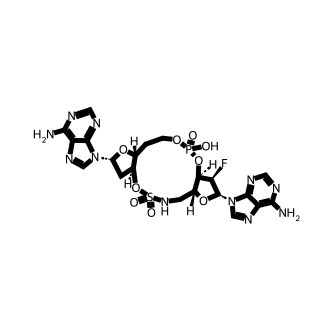 Nc1ncnc2c1ncn2[C@@H]1O[C@@H]2CNS(=O)(=O)O[C@H]3C[C@H](n4cnc5c(N)ncnc54)O[C@@H]3CCOP(=O)(O)O[C@H]2[C@H]1F